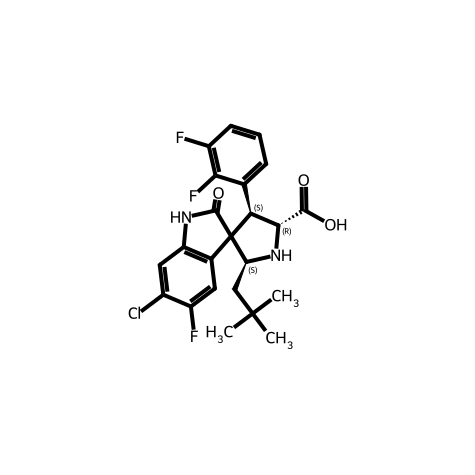 CC(C)(C)C[C@@H]1N[C@@H](C(=O)O)[C@H](c2cccc(F)c2F)C12C(=O)Nc1cc(Cl)c(F)cc12